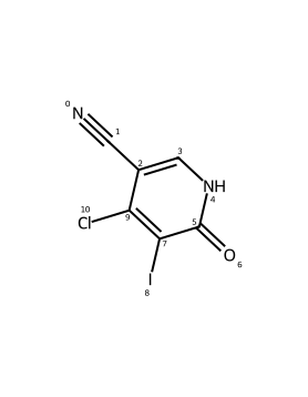 N#Cc1c[nH]c(=O)c(I)c1Cl